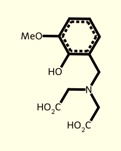 COc1cccc(CN(CC(=O)O)CC(=O)O)c1O